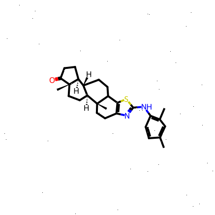 Cc1ccc(Nc2nc3c(s2)C2CC[C@@H]4[C@H](CC[C@]5(C)C(=O)CC[C@@H]45)[C@@]2(C)CC3)c(C)c1